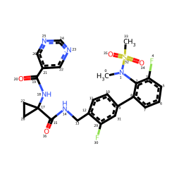 CN(c1c(F)cccc1-c1ccc(CNC(=O)C2(NC(=O)c3cncnc3)CC2)c(F)c1)S(C)(=O)=O